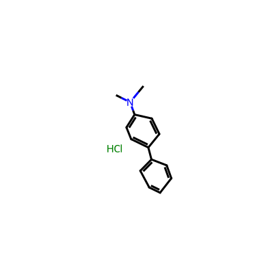 CN(C)c1ccc(-c2ccccc2)cc1.Cl